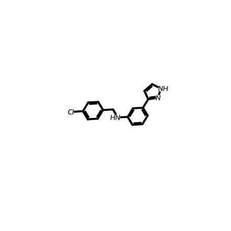 Clc1ccc(CNc2cccc(-c3cc[nH]n3)c2)cc1